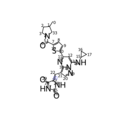 CC1CCN(C(=O)c2ccc(-c3cc(NC4CC4)n4ncc(/C=C5\NC(=O)NC5=O)c4n3)s2)C1